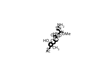 CO/N=C(\C(=O)N[C@@H]1C(=O)N2C(C(=O)O)=C(Cc3cccc(CSC(C)=O)c3C)CS[C@H]12)c1csc(N)n1